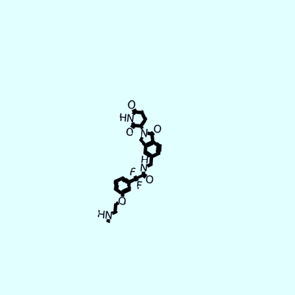 CNCCOc1cccc(C(F)(F)C(=O)NCc2ccc3c(c2)CN(C2CCC(=O)NC2=O)C3=O)c1